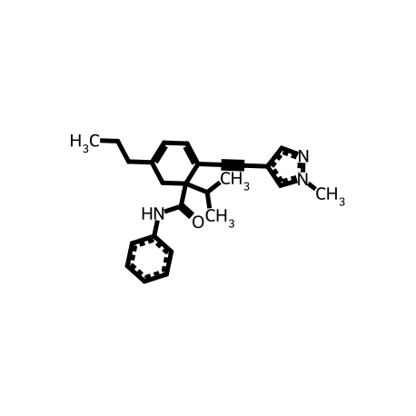 CCCC1=CC=C(C#Cc2cnn(C)c2)C(C(=O)Nc2ccccc2)(C(C)C)C1